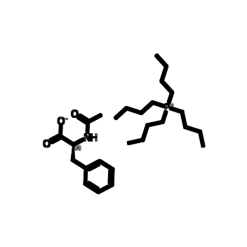 CC(=O)N[C@@H](Cc1ccccc1)C(=O)[O-].CCCC[P+](CCCC)(CCCC)CCCC